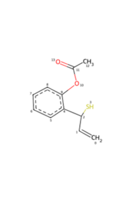 C=CC(S)c1ccccc1OC(C)=O